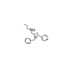 CCCNCC1CC(c2ccccc2)N1Cc1ccccc1